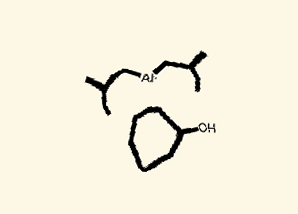 CC(C)[CH2][Al][CH2]C(C)C.OC1CCCCC1